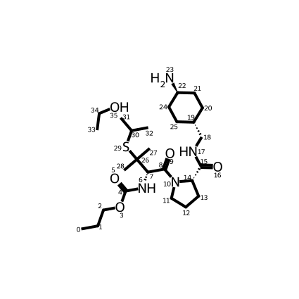 CCCOC(=O)N[C@@H](C(=O)N1CCC[C@H]1C(=O)NC[C@H]1CC[C@H](N)CC1)C(C)(C)SC(C)C.CCO